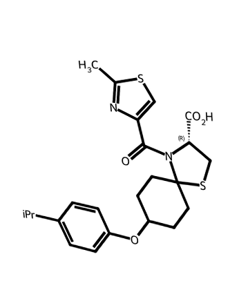 Cc1nc(C(=O)N2[C@H](C(=O)O)CSC23CCC(Oc2ccc(C(C)C)cc2)CC3)cs1